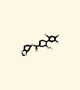 NC1CC(C(=O)Nc2ccc3c(c2)OCO3)=CCC1c1cc(F)c(F)cc1F